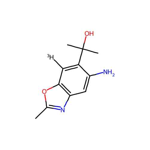 [3H]c1c(C(C)(C)O)c(N)cc2nc(C)oc12